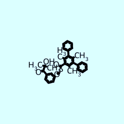 CC(C)(O)C(=O)c1ccccc1.Cc1c(C(=O)P=O)c(C)c(-c2ccccc2)c(C)c1-c1ccccc1